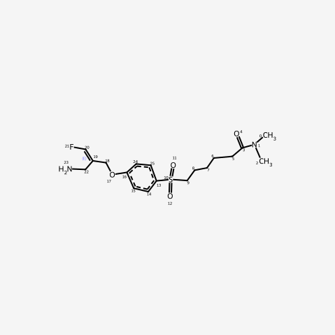 CN(C)C(=O)CCCCCS(=O)(=O)c1ccc(OC/C(=C/F)CN)cc1